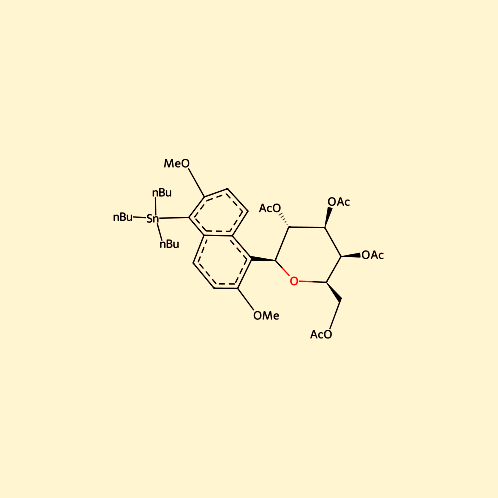 CCC[CH2][Sn]([CH2]CCC)([CH2]CCC)[c]1c(OC)ccc2c([C@@H]3O[C@H](COC(C)=O)[C@H](OC(C)=O)[C@H](OC(C)=O)[C@H]3OC(C)=O)c(OC)ccc12